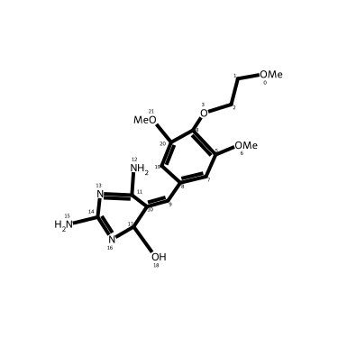 COCCOc1c(OC)cc(C=C2C(N)=NC(N)=NC2O)cc1OC